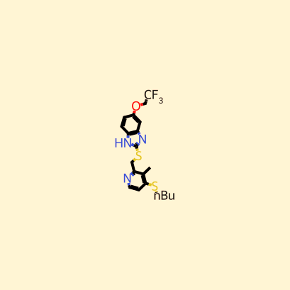 CCCCSc1ccnc(CSc2nc3cc(OCC(F)(F)F)ccc3[nH]2)c1C